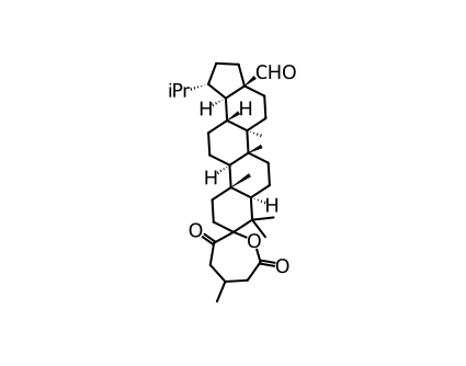 CC1CC(=O)OC2(CC[C@]3(C)[C@H]4CC[C@@H]5[C@H]6[C@H](C(C)C)CC[C@]6(C=O)CC[C@@]5(C)[C@]4(C)CC[C@H]3C2(C)C)C(=O)C1